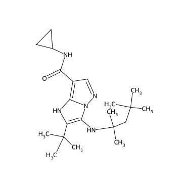 CC(C)(C)CC(C)(C)Nc1c(C(C)(C)C)[nH]c2c(C(=O)NC3CC3)cnn12